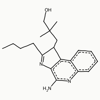 CCCCC1=Nc2c(N)nc3ccccc3c2C1CC(C)(C)CO